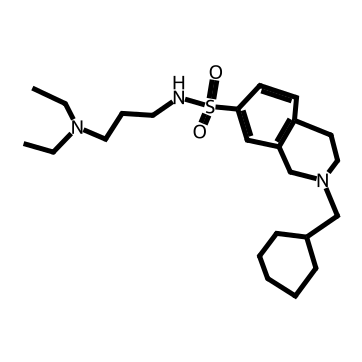 CCN(CC)CCCNS(=O)(=O)c1ccc2c(c1)CN(CC1CCCCC1)CC2